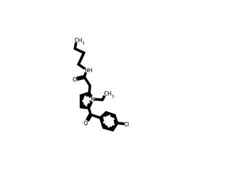 CCCCNC(=O)Cc1ccc(C(=O)c2ccc(Cl)cc2)n1CC